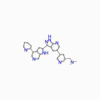 CN(C)Cc1cncc(-c2cnc3[nH]nc(-c4cc5c(-c6ccccn6)cncc5[nH]4)c3c2)c1